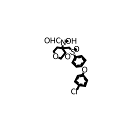 O=CN(O)C1(CS(=O)(=O)c2ccc(Oc3ccc(Cl)cc3)cc2)CCOCC1